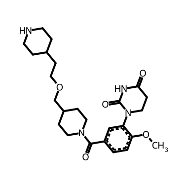 COc1ccc(C(=O)N2CCC(COCCC3CCNCC3)CC2)cc1N1CCC(=O)NC1=O